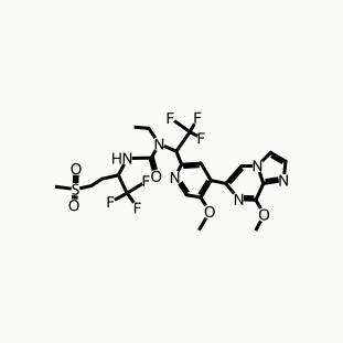 CCN(C(=O)NC(CCS(C)(=O)=O)C(F)(F)F)C(c1cc(-c2cn3ccnc3c(OC)n2)c(OC)cn1)C(F)(F)F